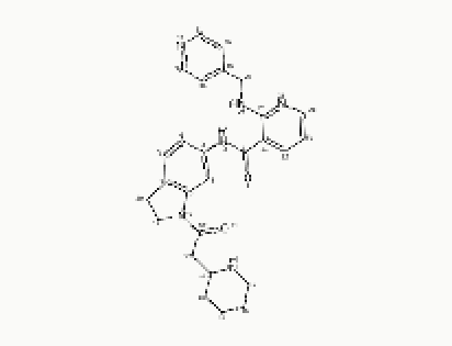 O=C(Nc1ccc2c(c1)N(C(=O)CC1CCCCN1)CC2)c1cccnc1NCc1ccncc1